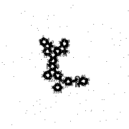 CC1(C)c2ccccc2-c2ccc(-c3cc4nc(-c5ccccc5)c(-c5ccc(N(c6ccccc6)c6ccc(-c7nc8ccccc8o7)cc6)cc5)nc4cc3-c3ccc4c(c3)C(C)(C)c3ccccc3-4)cc21